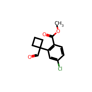 COC(=O)c1ccc(Cl)cc1C1(C=O)CCC1